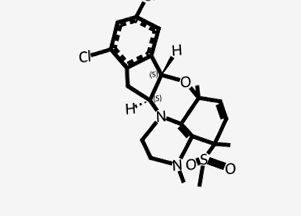 CN1CCN2C3=C1C(C)(S(C)(=O)=O)C=CC3(C)O[C@H]1c3cc(Cl)cc(Cl)c3C[C@@H]12